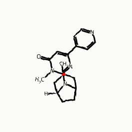 CN1CC2CC[C@H](C1)N2c1nc(-c2ccncc2)cc(=O)n1C